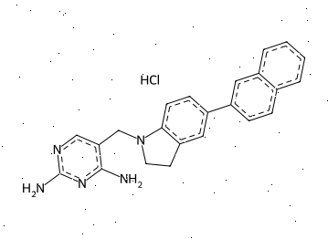 Cl.Nc1ncc(CN2CCc3cc(-c4ccc5ccccc5c4)ccc32)c(N)n1